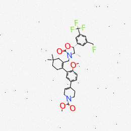 COC(=O)N1CC=C(c2ccc(OC)c(C3=C(CN4C(=O)O[C@H](c5cc(CF)cc(C(F)(F)F)c5)[C@@H]4C)CC(C)(C)CC3)c2)CC1